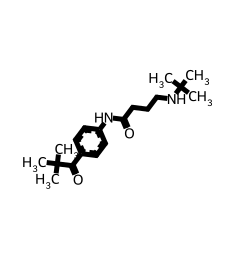 CC(C)(C)NCCCC(=O)Nc1ccc(C(=O)C(C)(C)C)cc1